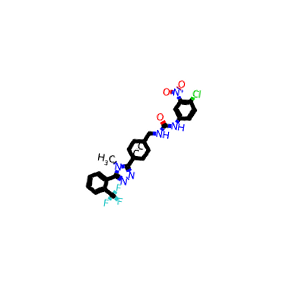 Cn1c(-c2ccccc2C(F)(F)F)nnc1C12CCC(CNC(=O)Nc3ccc(Cl)c([N+](=O)[O-])c3)(CC1)CC2